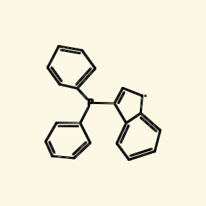 [CH]1C=C(P(c2ccccc2)c2ccccc2)c2ccccc21